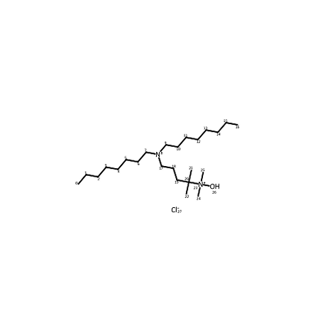 CCCCCCCCN(CCCCCCCC)CCCC(C)(C)[N+](C)(C)O.[Cl-]